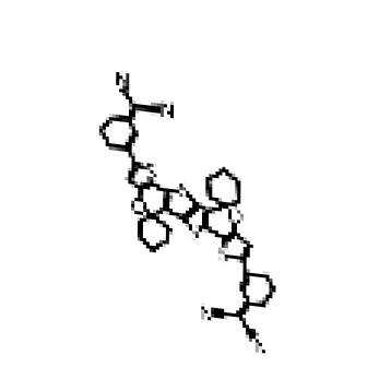 N#CC(C#N)=C1C=C(c2cc3c(s2)-c2sc4c5c(sc4c2C2(CCCCC2)O3)-c2sc(C3=CC(=C(C#N)C#N)CCC3)cc2OC52CCCCC2)CCC1